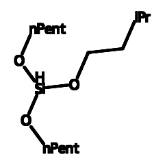 CCCCCO[SiH](OCCCCC)OCCC(C)C